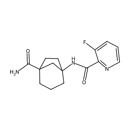 NC(=O)C12CCCC(NC(=O)c3ncccc3F)(CC1)C2